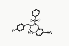 N#Cc1ccc2c(c1)CN(S(=O)(=O)c1ccccc1)C(Cc1ccc(F)cc1)CN2